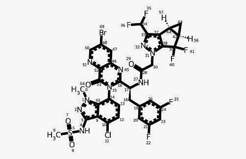 Cn1nc(NS(C)(=O)=O)c2c(Cl)ccc(-n3c([C@H](Cc4cc(F)cc(F)c4)NC(=O)Cn4nc(C(F)F)c5c4C(F)(F)[C@@H]4C[C@H]54)nc4cc(Br)cnc4c3=O)c21